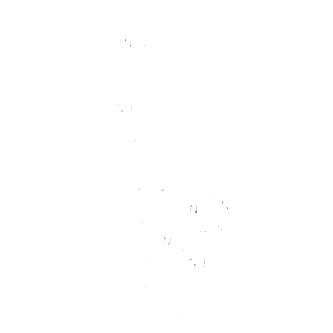 Cc1cccc(Cl)c1Nc1nc2ccc(-c3ccc(CNCCCN(C)C)cc3)cc2n2cncc12